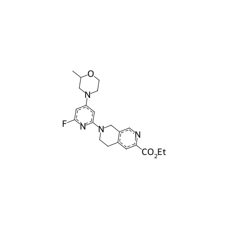 CCOC(=O)c1cc2c(cn1)CN(c1cc(N3CCOC(C)C3)cc(F)n1)CC2